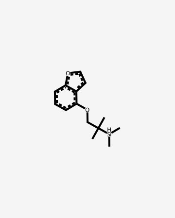 C[SiH](C)C(C)(C)COc1cccc2occc12